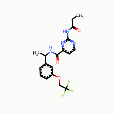 CCC(=O)Nc1nccc(C(=O)NC(C)c2cccc(OCC(F)(F)F)c2)n1